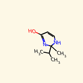 CC(C)C1(C)N=C(O)C=CN1